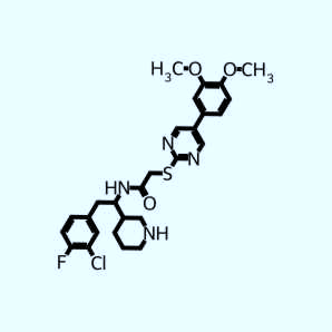 COc1ccc(-c2cnc(SCC(=O)NC(Cc3ccc(F)c(Cl)c3)C3CCCNC3)nc2)cc1OC